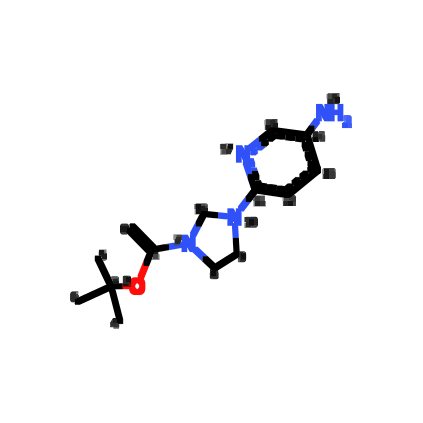 C=C(OC(C)(C)C)N1CCN(c2ccc(N)cn2)C1